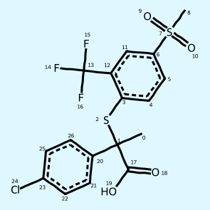 CC(Sc1ccc(S(C)(=O)=O)cc1C(F)(F)F)(C(=O)O)c1ccc(Cl)cc1